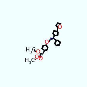 CCOC(=O)[C@H](Cc1ccc(OC/C=C(\c2ccccc2)c2ccc(-c3ccco3)cc2)cc1)OCC